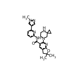 Cn1cc(-c2cccc(NC(=O)c3cc4c(nc3N3CCNC5(CC5)C3)OC(C)(C)C4)n2)cn1